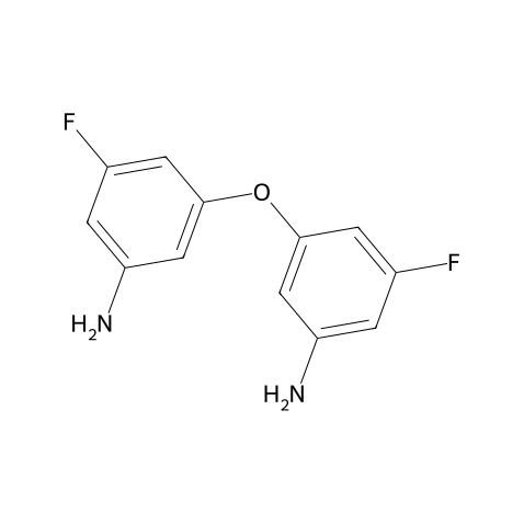 Nc1cc(F)cc(Oc2cc(N)cc(F)c2)c1